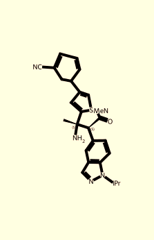 CNC(=O)[C@@H](c1ccc2c(cnn2C(C)C)c1)[C@](C)(N)c1cc(C2C=CC=C(C#N)C2)cs1